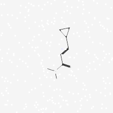 CN(C)C(=O)/C=C/C1CC1